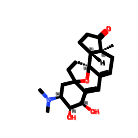 CN(C)[C@H]1CC23CC[C@@]4(O2)C(=CC[C@]2(C)C(=O)CC[C@H]24)C=C3[C@@H](O)[C@@H]1O